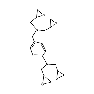 c1cc(N(CC2CO2)CC2CO2)ccc1CN(CC1CO1)CC1CO1